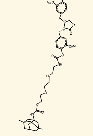 COc1ccc(C[C@H]2COC(=O)[C@@H]2Cc2ccc(OC(=O)NCCNCCOCCOC(=O)NC34CC5CC(C)(CC(C)(C5)C3)C4)c(OC)c2)cc1OC